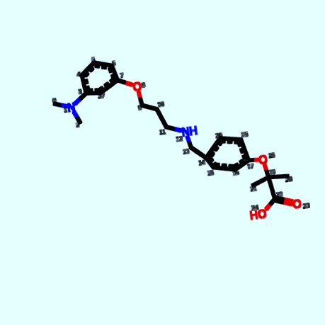 CN(C)c1cccc(OCCCNCc2ccc(OC(C)(C)C(=O)O)cc2)c1